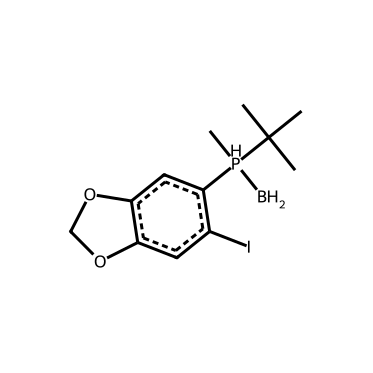 B[PH](C)(c1cc2c(cc1I)OCO2)C(C)(C)C